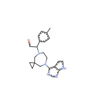 Cc1ccc(C(C=O)N2CCN(c3ncnc4[nH]ccc34)CC3(CC3)C2)cc1